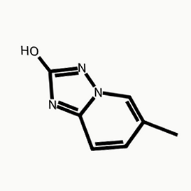 Cc1ccc2nc(O)nn2c1